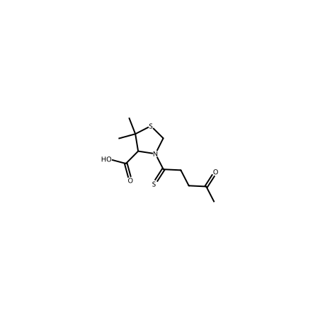 CC(=O)CCC(=S)N1CSC(C)(C)C1C(=O)O